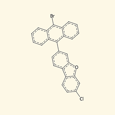 Clc1ccc2c(c1)oc1cc(-c3c4ccccc4c(Br)c4ccccc34)ccc12